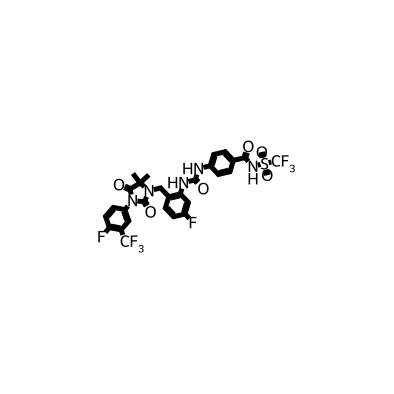 CC1(C)C(=O)N(c2ccc(F)c(C(F)(F)F)c2)C(=O)N1Cc1ccc(F)cc1NC(=O)Nc1ccc(C(=O)NS(=O)(=O)C(F)(F)F)cc1